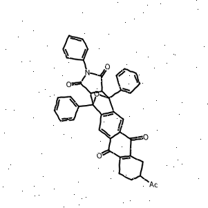 CC(=O)C1CCC2=C(C1)C(=O)c1cc3c(cc1C2=O)C1(c2ccccc2)OC3(c2ccccc2)C2C(=O)N(c3ccccc3)C(=O)C21